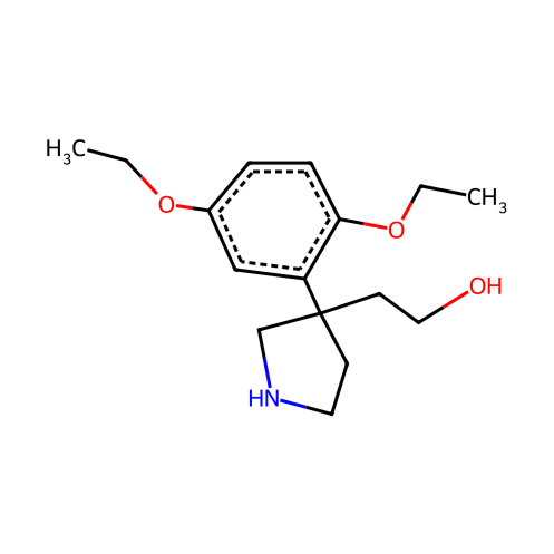 CCOc1ccc(OCC)c(C2(CCO)CCNC2)c1